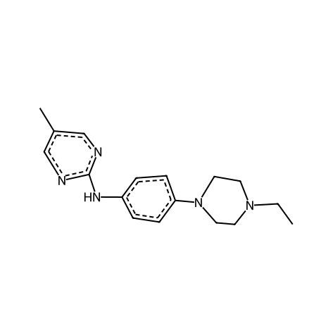 CCN1CCN(c2ccc(Nc3ncc(C)cn3)cc2)CC1